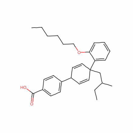 CCCCCCOc1ccccc1C1(CC(C)CC)C=CC(c2ccc(C(=O)O)cc2)C=C1